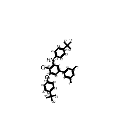 Cc1cc(C)cc(-c2cc(Nc3ccc(C(C)(C)C)cc3)c(Cl)c(Oc3ccc(C(C)(C)C)cc3)c2)c1